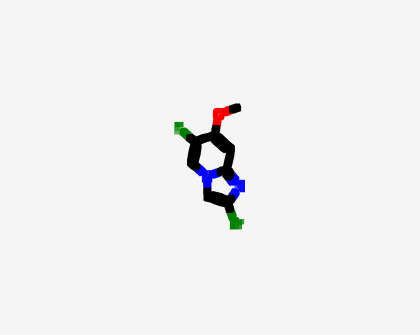 COc1cc2nc(Br)cn2cc1F